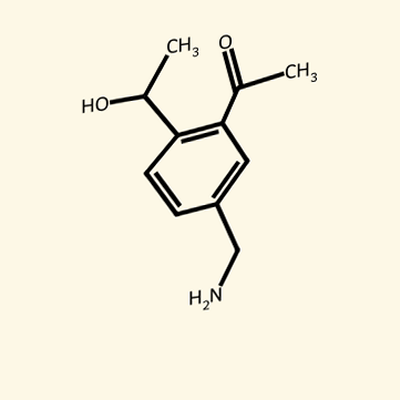 CC(=O)c1cc(CN)ccc1C(C)O